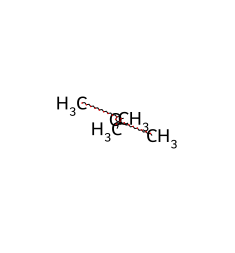 CCCCCCCCCCCCCCCCC(CCC)OC(CCC)CCCCCCCCCCCCCCCC